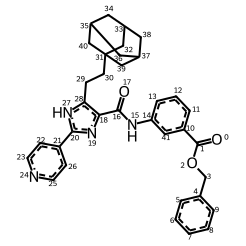 O=C(OCc1ccccc1)c1cccc(NC(=O)c2nc(-c3ccncc3)[nH]c2CCC23CC4CC(CC(C4)C2)C3)c1